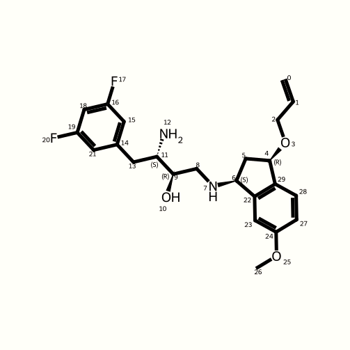 C=CCO[C@@H]1C[C@H](NC[C@@H](O)[C@@H](N)Cc2cc(F)cc(F)c2)c2cc(OC)ccc21